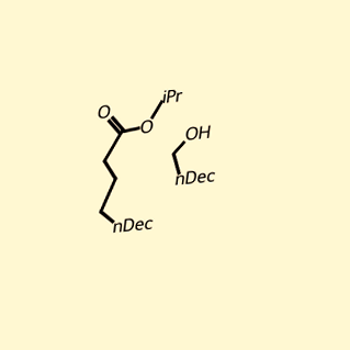 CCCCCCCCCCCCCC(=O)OC(C)C.CCCCCCCCCCCO